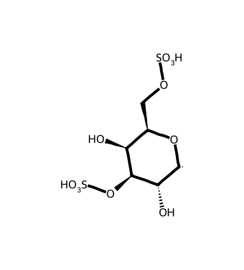 O=S(=O)(O)OC[C@H]1O[CH][C@H](O)[C@@H](OS(=O)(=O)O)[C@H]1O